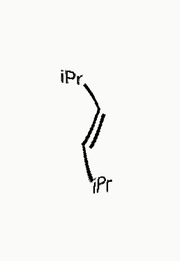 CC(C)/C=C/C(C)C